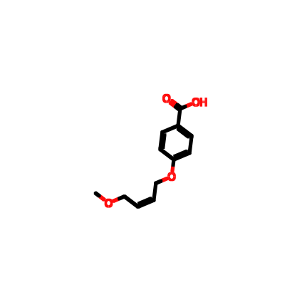 COC/C=C\COc1ccc(C(=O)O)cc1